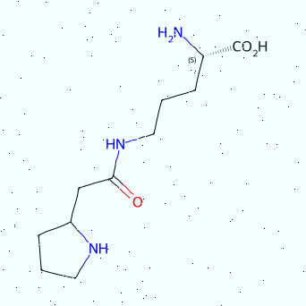 N[C@@H](CCCNC(=O)CC1CCCN1)C(=O)O